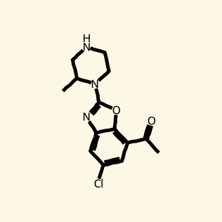 CC(=O)c1cc(Cl)cc2nc(N3CCNCC3C)oc12